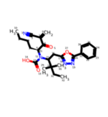 C=C(C#N)C(=O)[C@H](CCCC)N(C(=O)O)C(Cc1nnc(-c2ccccc2)o1)C(C)(C)CC